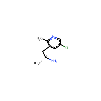 Cc1ncc(Cl)cc1C[C@H](N)C(=O)O